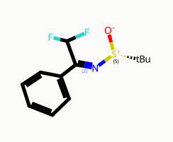 CC(C)(C)[S@@+]([O-])/N=C(/c1ccccc1)C(F)F